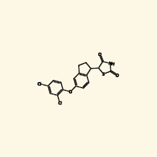 O=C1NC(=O)C(C2CCc3cc(Oc4ccc(Cl)cc4Cl)ccc32)S1